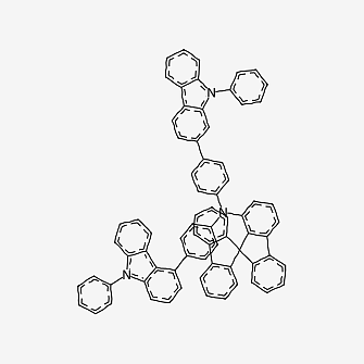 c1ccc(-n2c3ccccc3c3ccc(-c4ccc(N(c5ccc(-c6cccc7c6c6ccccc6n7-c6ccccc6)cc5)c5cccc6c5C5(c7ccccc7-c7ccccc75)c5ccccc5-6)cc4)cc32)cc1